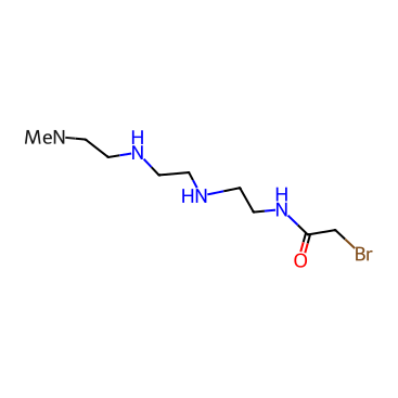 CNCCNCCNCCNC(=O)CBr